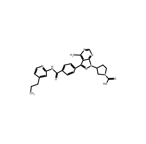 CCCc1ccnc(NC(=O)c2ccc(-c3nn(C4CCN(C(=O)O)C4)c4ncnc(N)c34)cc2)c1